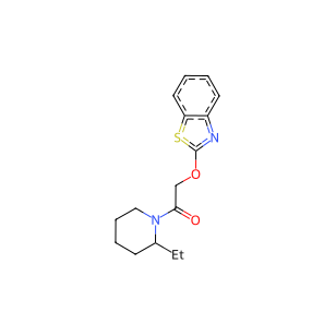 CCC1CCCCN1C(=O)COc1nc2ccccc2s1